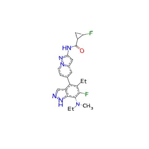 CCc1c(F)c(N(C)CC)c2[nH]ncc2c1-c1ccn2nc(NC(=O)C3CC3F)cc2c1